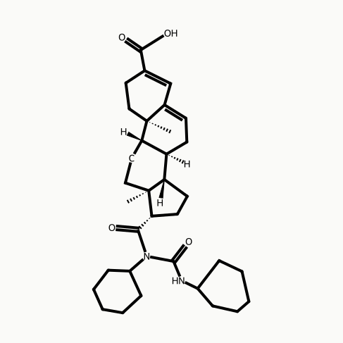 C[C@]12CC[C@H]3[C@@H](CC=C4C=C(C(=O)O)CC[C@@]43C)[C@@H]1CC[C@@H]2C(=O)N(C(=O)NC1CCCCC1)C1CCCCC1